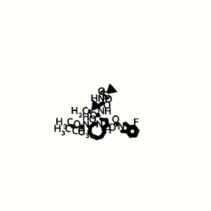 C=C[C@@H]1C[C@]1(NC(=O)[C@@H]1C[C@@H](OC(=O)N2Cc3cccc(F)c3C2)[C@@H]2CCC=CC[C@H](NC(=O)OC(C)(C)C)C(=O)N12)C(=O)NS(=O)(=O)C1CC1